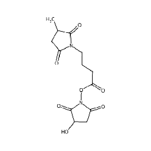 CC1CC(=O)N(CCCC(=O)ON2C(=O)CC(O)C2=O)C1=O